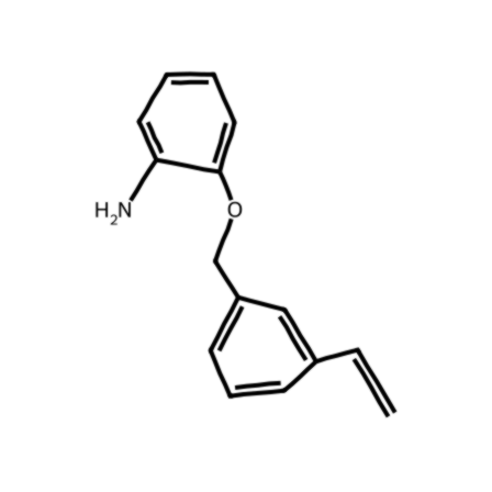 C=Cc1cccc(COc2ccccc2N)c1